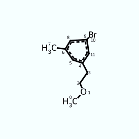 COC[CH]c1cc(C)cc(Br)c1